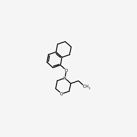 CCC1COCCN1Oc1cccc2c1CCCC2